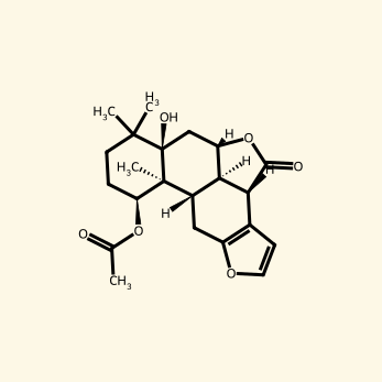 CC(=O)O[C@H]1CCC(C)(C)[C@]2(O)C[C@@H]3OC(=O)[C@@H]4c5ccoc5C[C@@H]([C@@H]34)[C@@]12C